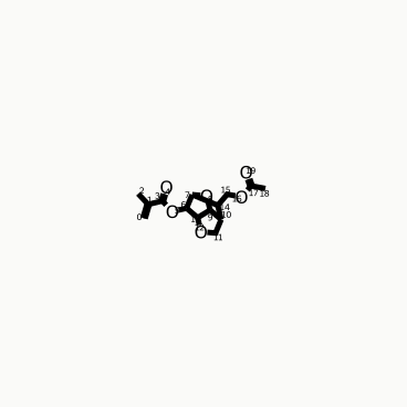 C=C(C)C(=O)OC1C2OC3C(COC31)C2COC(C)=O